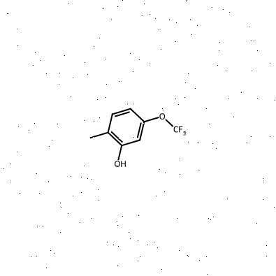 Cc1ccc(OC(F)(F)F)cc1O